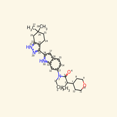 CCN(C(=O)C(C)C1CCOCC1)c1ccc2cc(-c3n[nH]c4c3CCC(C)(C)C4)[nH]c2c1